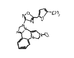 Cc1ccc(-c2nc(N3CN=C4c5ccccc5N5CN(Cl)C=C5N43)no2)o1